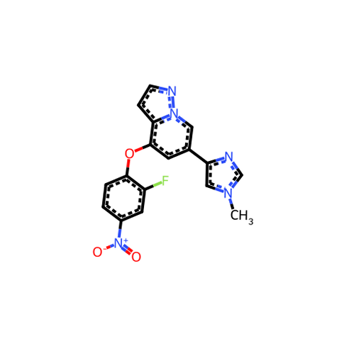 Cn1cnc(-c2cc(Oc3ccc([N+](=O)[O-])cc3F)c3ccnn3c2)c1